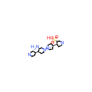 Nc1c[n+](-[n+]2ccc(-c3ccncc3S(=O)(=O)O)cc2)ccc1-c1ccncc1